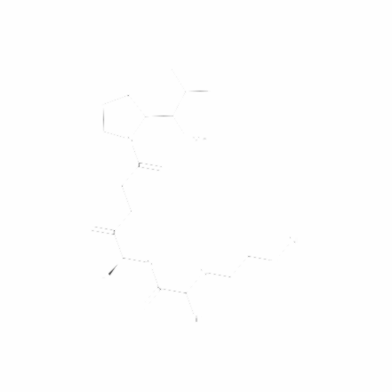 COC(C(C)C=O)C1CCCN1C(=O)CCC(=O)[C@@H](NC(=O)C(NCCON)C(C)C)C(C)C